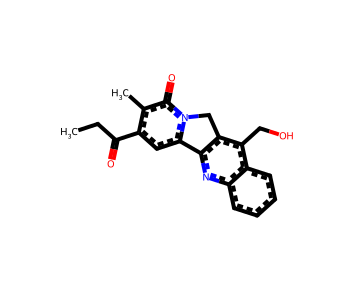 CCC(=O)c1cc2n(c(=O)c1C)Cc1c-2nc2ccccc2c1CO